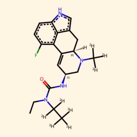 [2H]C([2H])([2H])N1C[C@@H](NC(=O)N(CC)C([2H])([2H])C([2H])([2H])[2H])C=C2c3c(F)ccc4[nH]cc(c34)C[C@H]21